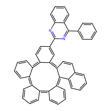 c1ccc(-c2nc(-c3ccc4c5ccccc5c5ccccc5c5ccccc5c5c6ccccc6ccc5c4c3)nc3ccccc23)cc1